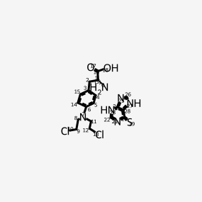 N[C@@H](Cc1ccc(N(CCCl)CCCl)cc1)C(=O)O.S=c1nc[nH]c2nc[nH]c12